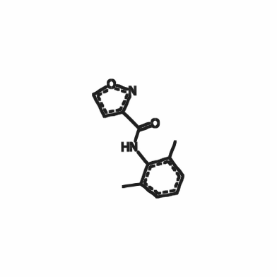 Cc1cccc(C)c1NC(=O)c1ccon1